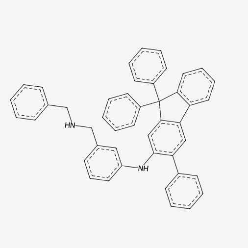 c1ccc(CNCc2cccc(Nc3cc4c(cc3-c3ccccc3)-c3ccccc3C4(c3ccccc3)c3ccccc3)c2)cc1